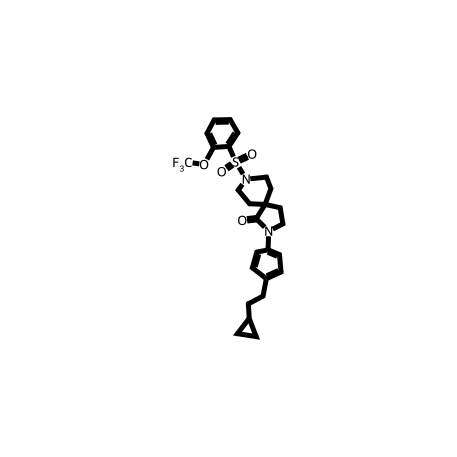 O=C1N(c2ccc(CCC3CC3)cc2)CCC12CCN(S(=O)(=O)c1ccccc1OC(F)(F)F)CC2